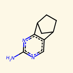 Nc1ncc2c(n1)C1CCC2C1